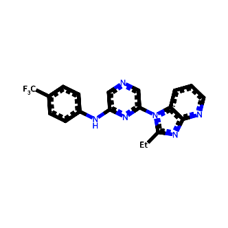 CCc1nc2ncccc2n1-c1cncc(Nc2ccc(C(F)(F)F)cc2)n1